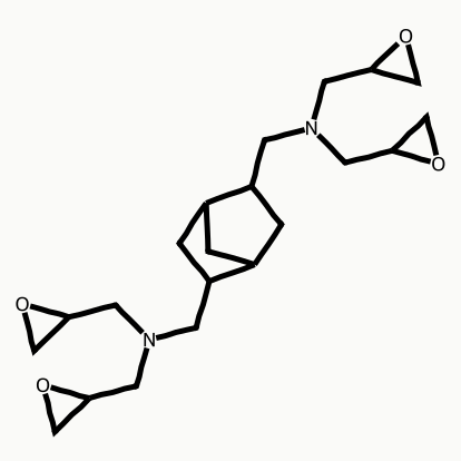 C1OC1CN(CC1CO1)CC1CC2CC1CC2CN(CC1CO1)CC1CO1